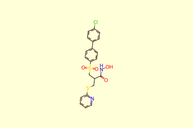 O=C(NO)C(CSc1ccccn1)CS(=O)(=O)c1ccc(-c2ccc(Cl)cc2)cc1